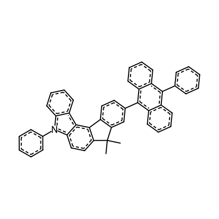 CC1(C)c2cc(-c3c4ccccc4c(-c4ccccc4)c4ccccc34)ccc2-c2c1ccc1c2c2ccccc2n1-c1ccccc1